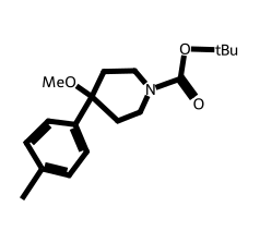 COC1(c2ccc(C)cc2)CCN(C(=O)OC(C)(C)C)CC1